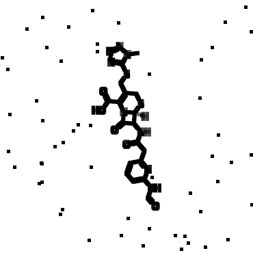 Cn1nnnc1SCC1=C(C(=O)O)N2C(=O)C(NC(=O)Cc3cccc(NC=O)n3)[C@@H]2SC1